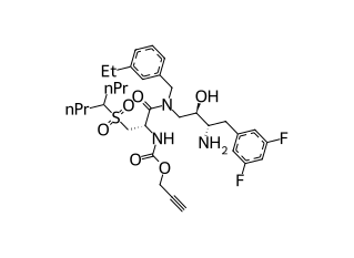 C#CCOC(=O)N[C@H](CS(=O)(=O)C(CCC)CCC)C(=O)N(Cc1cccc(CC)c1)C[C@@H](O)[C@@H](N)Cc1cc(F)cc(F)c1